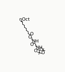 CCCCCCCCC=CCCCCCCCC(=O)OCCNC(=O)CCNC(=O)C1OC(C)(C)OCC1(C)C